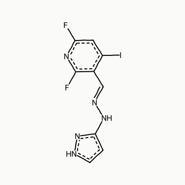 Fc1cc(I)c(/C=N/Nc2cc[nH]n2)c(F)n1